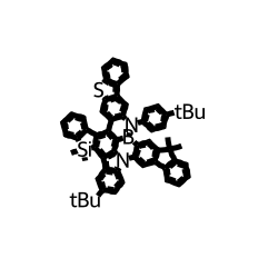 CC(C)(C)c1ccc(N2B3c4cc5c(cc4-n4c6ccc(C(C)(C)C)cc6c6c7c(c(c3c64)-c3cc4sc6ccccc6c4cc32)-c2ccccc2[Si]7(C)C)-c2ccccc2C5(C)C)cc1